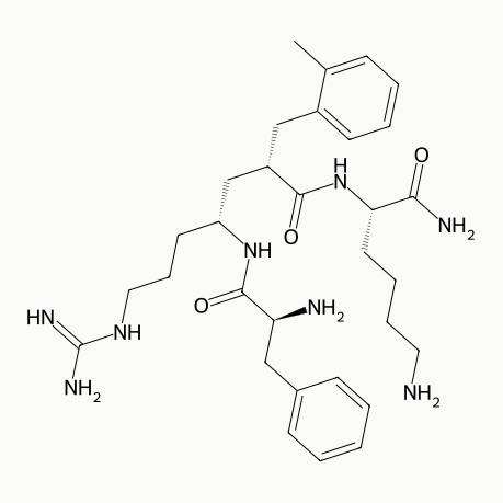 Cc1ccccc1C[C@@H](C[C@@H](CCCNC(=N)N)NC(=O)[C@@H](N)Cc1ccccc1)C(=O)N[C@@H](CCCCN)C(N)=O